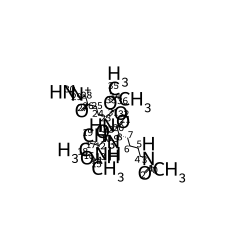 CC(=O)NCCCC[C@H](NC(=O)C(NC(C)=O)C(C)C)C(=O)N[C@@H](CCC(=O)C=[N+]=N)C(=O)OC(C)C